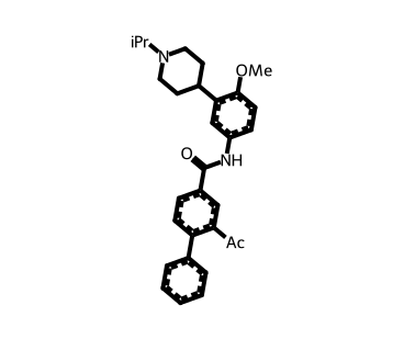 COc1ccc(NC(=O)c2ccc(-c3ccccc3)c(C(C)=O)c2)cc1C1CCN(C(C)C)CC1